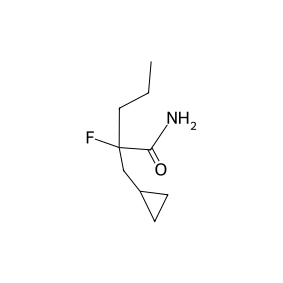 CCCC(F)(CC1CC1)C(N)=O